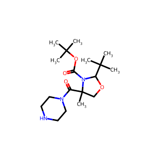 CC(C)(C)OC(=O)N1C(C(C)(C)C)OCC1(C)C(=O)N1CCNCC1